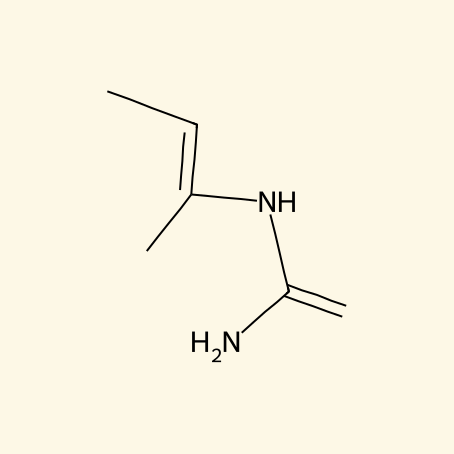 C=C(N)N/C(C)=C/C